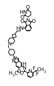 COc1cc2nn([C@H]3CC[C@H](CN4CCC5(CC4)CC(CCNc4cccc6c4C(=O)N([C@H]4CCC(=O)NC4=O)C6=O)C5)CC3)cc2cc1NC(=O)c1cccc(C(C)(F)F)n1